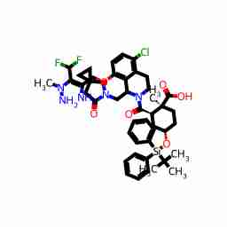 CN(N)/C(=C(\N)COc1ccc(Cl)c2c1C(CN1CC3(CC3)CC1=O)N(C(=O)[C@@H]1C[C@H](O[Si](c3ccccc3)(c3ccccc3)C(C)(C)C)CC[C@]1(C)C(=O)O)CC2)C(F)F